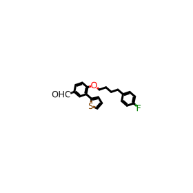 O=Cc1ccc(OCCCCc2ccc(F)cc2)c(-c2cccs2)c1